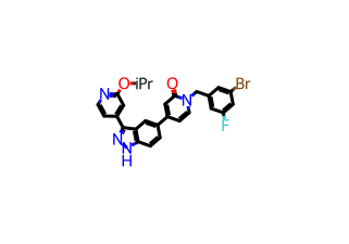 CC(C)Oc1cc(-c2n[nH]c3ccc(-c4ccn(Cc5cc(F)cc(Br)c5)c(=O)c4)cc23)ccn1